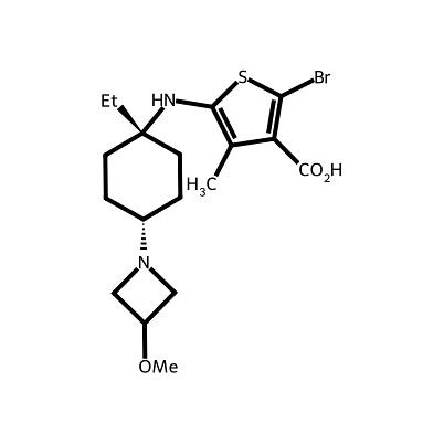 CC[C@]1(Nc2sc(Br)c(C(=O)O)c2C)CC[C@@H](N2CC(OC)C2)CC1